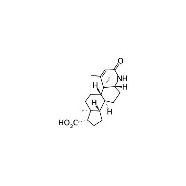 CC1=CC(=O)N[C@@H]2CC[C@H]3[C@@H]4CC[C@H](C(=O)O)[C@@]4(C)CC[C@@H]3[C@@]12C